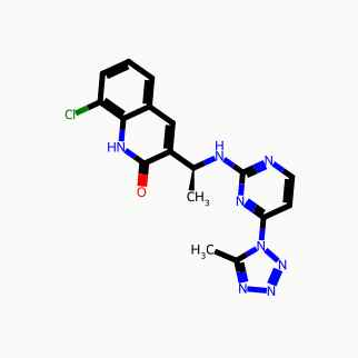 Cc1nnnn1-c1ccnc(N[C@@H](C)c2cc3cccc(Cl)c3[nH]c2=O)n1